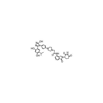 CC(C)c1cc(-c2nnc(O)n2-c2ccc(N3CCN(CC(=O)Nc4cccc5c4CN(C4CCC(=O)NC4=O)C5=O)CC3)cc2)c(O)cc1O